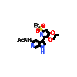 CCS(=O)(=O)c1cc2c(c(-c3c[nH]c4cnc(NC(C)=O)cc34)n1)OCC(C)O2